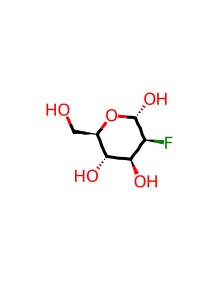 OC[C@H]1O[C@H](O)[C@@H](F)[C@@H](O)[C@@H]1O